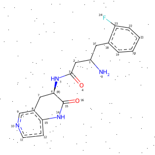 NC(CC(=O)N[C@@H]1Cc2cnccc2NC1=O)Cc1ccccc1F